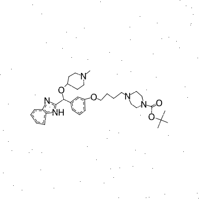 CN1CCC(OC(c2cccc(OCCCCN3CCN(C(=O)OC(C)(C)C)CC3)c2)c2nc3ccccc3[nH]2)CC1